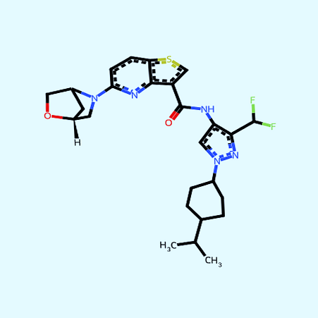 CC(C)C1CCC(n2cc(NC(=O)c3csc4ccc(N5C[C@H]6CC5CO6)nc34)c(C(F)F)n2)CC1